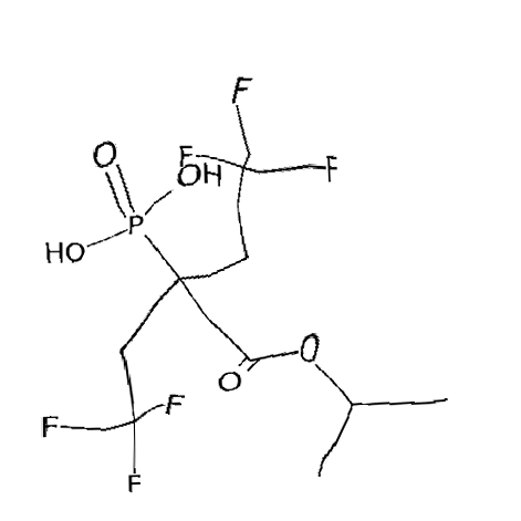 CC(C)OC(=O)C(CC(F)(F)F)(CC(F)(F)F)P(=O)(O)O